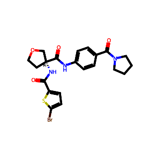 O=C(N[C@]1(C(=O)Nc2ccc(C(=O)N3CCCC3)cc2)CCOC1)c1ccc(Br)s1